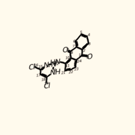 O=C1c2ccccc2C(=O)c2c(NN3N=C(Cl)C=C(Cl)N3)cccc21